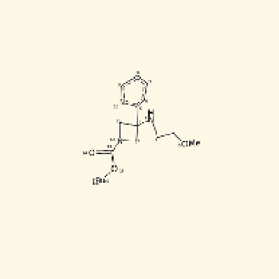 COCCNC1(c2ccccn2)CN(C(=O)OC(C)(C)C)C1